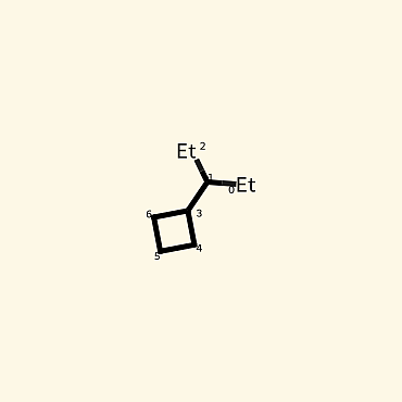 CC[C](CC)C1CCC1